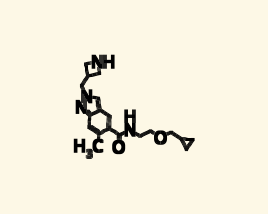 Cc1cc2nn(CC3CNC3)cc2cc1C(=O)NCCOCC1CC1